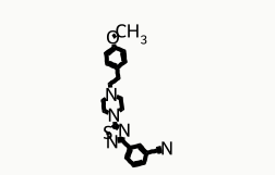 COc1ccc(CCN2CCN(c3nc(-c4cccc(C#N)c4)ns3)CC2)cc1